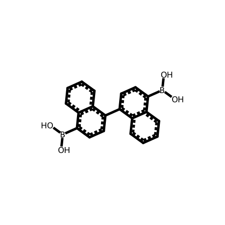 OB(O)c1ccc(-c2ccc(B(O)O)c3ccccc23)c2ccccc12